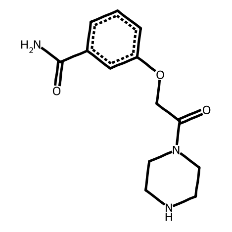 NC(=O)c1cccc(OCC(=O)N2CCNCC2)c1